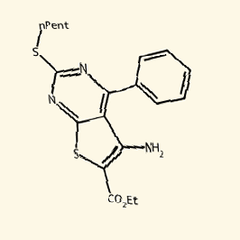 CCCCCSc1nc(-c2ccccc2)c2c(N)c(C(=O)OCC)sc2n1